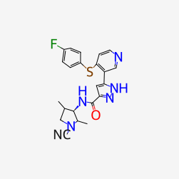 CC1CN(C#N)C(C)[C@@H]1NC(=O)c1cc(-c2cnccc2Sc2ccc(F)cc2)[nH]n1